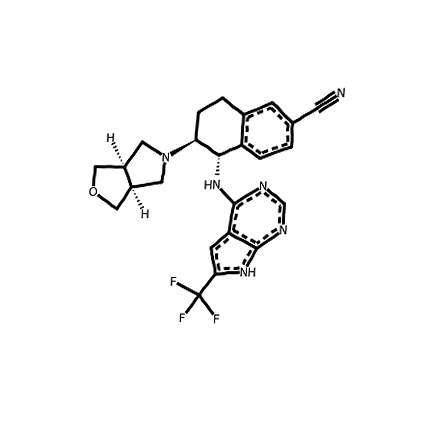 N#Cc1ccc2c(c1)CC[C@H](N1C[C@H]3COC[C@H]3C1)[C@H]2Nc1ncnc2[nH]c(C(F)(F)F)cc12